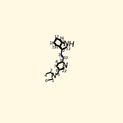 CCN(CC)Cc1ccc(/C=C/c2c[nH]c3ccccc23)nc1